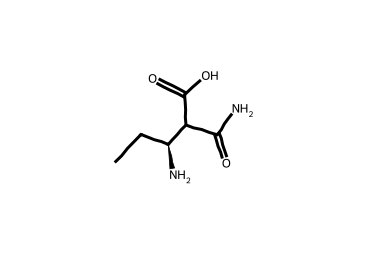 CC[C@H](N)C(C(N)=O)C(=O)O